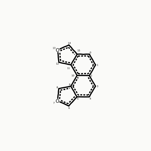 c1cc2ccc3cocc3c2c2cocc12